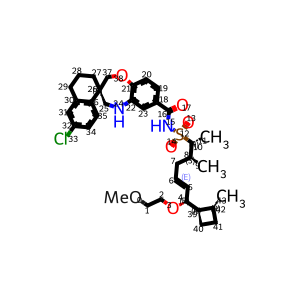 COCCO[C@@H](/C=C/C[C@H](C)[C@@H](C)S(=O)(=O)NC(=O)c1ccc2c(c1)NC[C@@]1(CCCc3cc(Cl)ccc31)CO2)[C@@H]1CC[C@H]1C